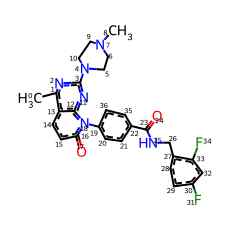 Cc1nc(N2CCN(C)CC2)nc2c1ccc(=O)n2-c1ccc(C(=O)NCc2ccc(F)cc2F)cc1